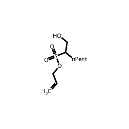 C=CCOS(=O)(=O)C(CO)CCCCC